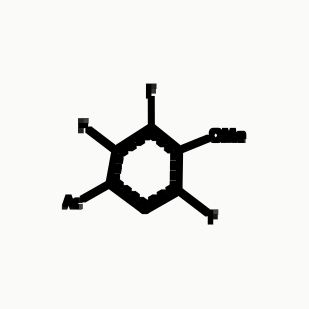 COc1c(F)cc(C(C)=O)c(F)c1F